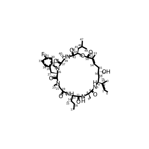 C/C=C(\C)[C@H]1NC(=O)[C@@H](C)NC(=O)[C@H]([C@@H](C)CC)NC(=O)CN(C)C(=O)[C@@H](Cc2ccc(F)cc2)N(C)C(=O)[C@H](C)NC(=O)[C@@H](CC(C)C)OC(=O)/C(C)=C/C[C@H](O)[C@@H]1C